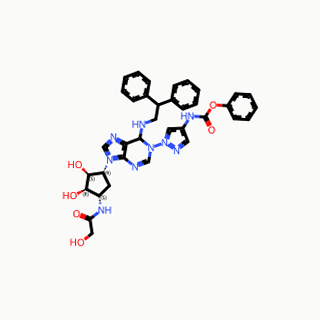 O=C(CO)N[C@H]1C[C@@H](n2cnc3c2N=CN(n2cc(NC(=O)Oc4ccccc4)cn2)C3NCC(c2ccccc2)c2ccccc2)[C@H](O)[C@@H]1O